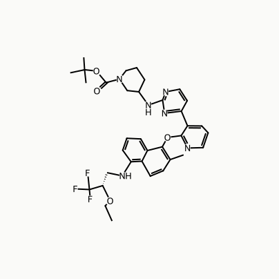 CCO[C@@H](CNc1cccc2c(Oc3ncccc3-c3ccnc(NC4CCCN(C(=O)OC(C)(C)C)C4)n3)c(C)ccc12)C(F)(F)F